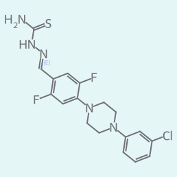 NC(=S)N/N=C/c1cc(F)c(N2CCN(c3cccc(Cl)c3)CC2)cc1F